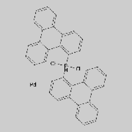 Cl[PH](Cl)(c1cccc2c3ccccc3c3ccccc3c12)c1cccc2c3ccccc3c3ccccc3c12.[Pd]